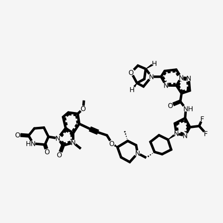 COc1ccc2c(c1C#CCO[C@@H]1CCN(C[C@H]3CC[C@H](n4cc(NC(=O)c5cnn6ccc(N7C[C@H]8C[C@@H]7CO8)nc56)c(C(F)F)n4)CC3)C[C@H]1C)n(C)c(=O)n2C1CCC(=O)NC1=O